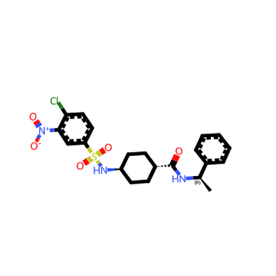 C[C@@H](NC(=O)[C@H]1CC[C@H](NS(=O)(=O)c2ccc(Cl)c([N+](=O)[O-])c2)CC1)c1ccccc1